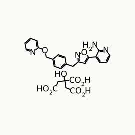 Nc1ncccc1-c1cc(Cc2ccc(COc3ccccn3)cc2)no1.O=C(O)CC(O)(CC(=O)O)C(=O)O